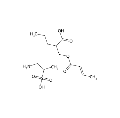 CC(CN)S(=O)(=O)O.CC=CC(=O)OCC(CCC)C(=O)O